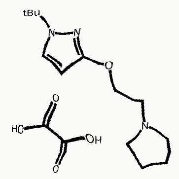 CC(C)(C)n1ccc(OCCN2CCCC2)n1.O=C(O)C(=O)O